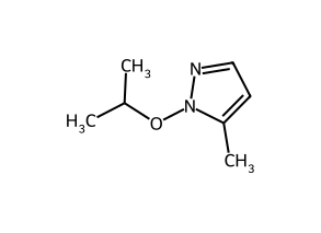 Cc1ccnn1OC(C)C